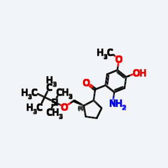 COc1cc(C(=O)C2CCC[C@H]2CO[Si](C)(C)C(C)(C)C)c(N)cc1O